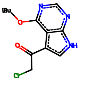 CCC(C)Oc1ncnc2[nH]cc(C(=O)CCl)c12